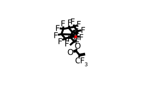 C=C(C(=O)OC(C)(C)C12C(F)(F)C3(F)C(F)(F)C(F)(C(F)(F)C(F)(C3(F)F)C1(F)F)C2(F)F)C(F)(F)F